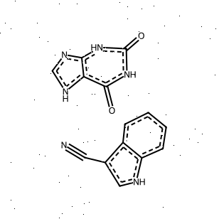 N#Cc1c[nH]c2ccccc12.O=c1[nH]c(=O)c2[nH]cnc2[nH]1